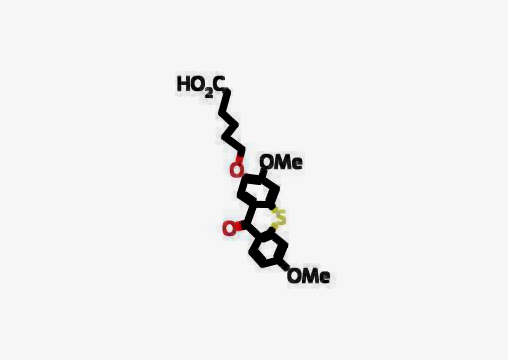 COc1ccc2c(=O)c3cc(OCCCCCC(=O)O)c(OC)cc3sc2c1